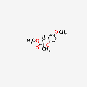 COC(=O)C(C)(C)Oc1ccc(OC)cc1